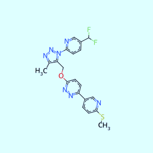 CSc1ccc(-c2ccc(OCc3c(C)nnn3-c3ccc(C(F)F)cn3)nn2)cn1